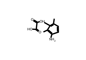 Cc1ccc(N)c(C)c1C.O=C(O)C(=O)O